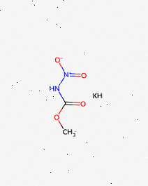 COC(=O)N[N+](=O)[O-].[KH]